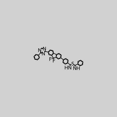 N=C(SC(=N)c1ccc(-c2ccc3c(c2)C(F)(F)c2cc(-c4ncnc(-c5ccccc5)n4)ccc2-3)cc1)c1ccccc1